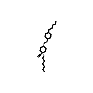 CCCCCCC[C@]1(C#N)CC[C@@H](COC2CCC(CCCCC)CC2)CC1